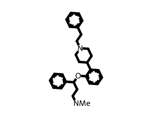 CNCCC(Oc1ccccc1C1CCN(CCc2ccccc2)CC1)c1ccccc1